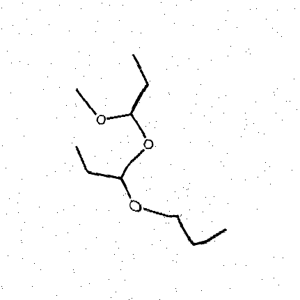 CC[CH]OC(CC)OC(CC)OC